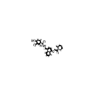 CC1CCCCN1C(=O)COc1ccc(/C=N/NC(=O)c2ccc(O)c(Cl)c2)c2ccccc12